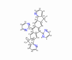 CC1(C)c2cc3c(-c4ncccn4)c4cc5c(cc4c(-c4ncccn4)c3cc2-c2ncccc21)C(C)(C)c1cccnc1-5